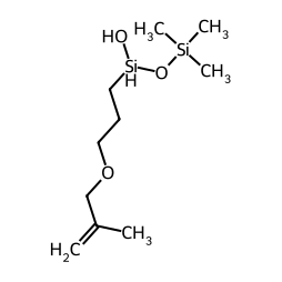 C=C(C)COCCC[SiH](O)O[Si](C)(C)C